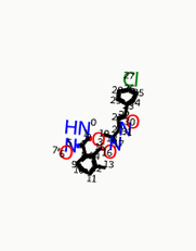 CNC(=O)/C(=N/OC)c1cccc(C)c1CO/N=C(\C)c1cc(-c2ccc(Cl)cc2)on1